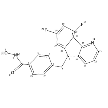 O=C(NO)c1ccc(Cn2c3cccnc3c3c(F)cc(F)cc32)cc1